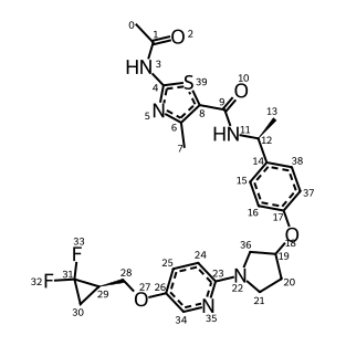 CC(=O)Nc1nc(C)c(C(=O)N[C@@H](C)c2ccc(OC3CCN(c4ccc(OC[C@H]5CC5(F)F)cn4)C3)cc2)s1